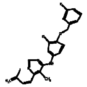 C=C(I)/C=C\c1ncnc(Nc2ccc(OCc3cccc(F)c3)c(Cl)c2)c1C